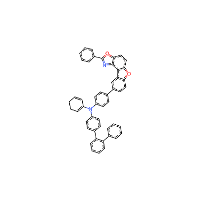 C1=CC(N(c2ccc(-c3ccc4oc5ccc6oc(-c7ccccc7)nc6c5c4c3)cc2)c2ccc(-c3ccccc3-c3ccccc3)cc2)=CCC1